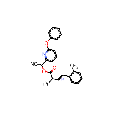 CC(C)C(/C=C/c1ccccc1C(F)(F)F)C(=O)OC(C#N)c1cccc(Oc2ccccc2)n1